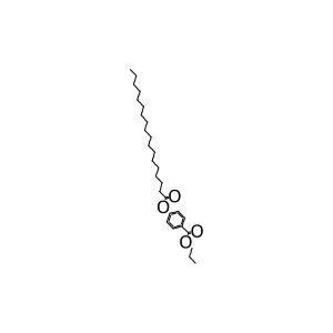 CCCCCCCCCCCCCCCCCC(=O)Oc1ccc(C(=O)OCCC)cc1